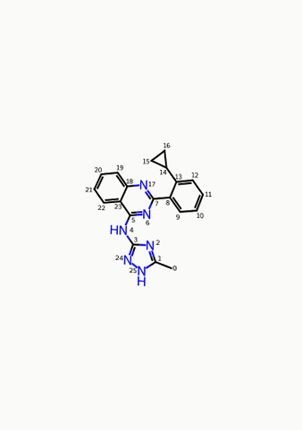 Cc1nc(Nc2nc(-c3ccccc3C3CC3)nc3ccccc23)n[nH]1